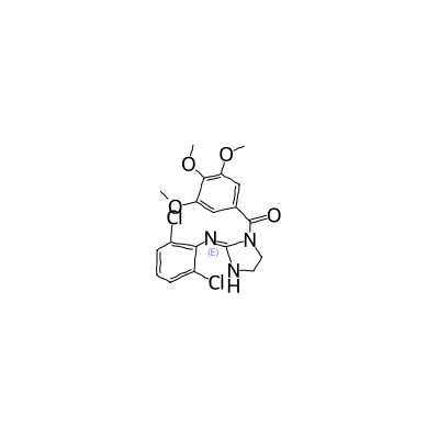 COc1cc(C(=O)N2CCN/C2=N\c2c(Cl)cccc2Cl)cc(OC)c1OC